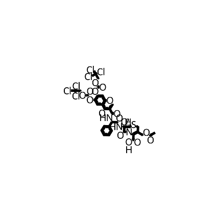 CO[C@@]1(NC(=O)C(NC(=O)c2coc3cc(OC(=O)OCC(Cl)(Cl)Cl)c(OC(=O)OCC(Cl)(Cl)Cl)cc3c2=O)c2ccccc2)C(=O)N2C(C(=O)O)=C(COC(C)=O)CS[C@H]21